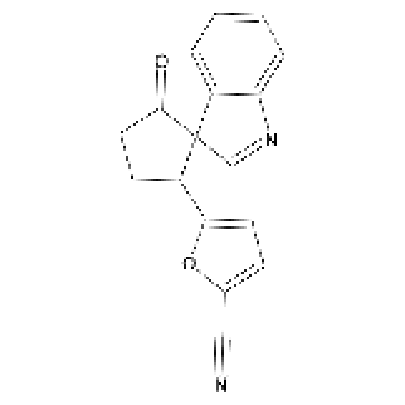 N#Cc1ccc(C2CCC(=O)C23C=Nc2ccccc23)o1